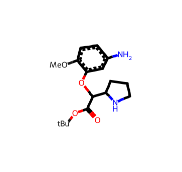 COc1ccc(N)cc1OC(C(=O)OC(C)(C)C)C1CCCN1